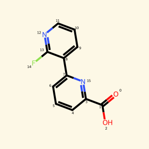 O=C(O)c1cccc(-c2cccnc2F)n1